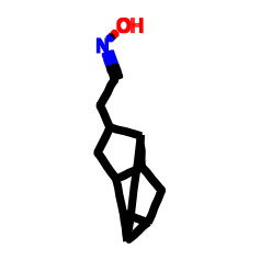 ON=CCC1CC2C3CC4C2C4C13